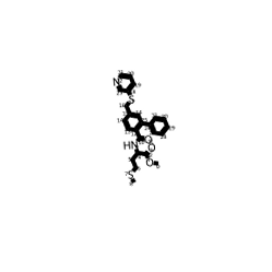 COC(=O)C(CCSC)NC(=O)c1ccc(CSc2cccnc2)cc1-c1ccccc1